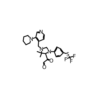 CC1(C)C(C(=O)C=O)N(c2ccc(SC(F)(F)F)cc2)CN1Cc1ccncc1N1CCCCC1